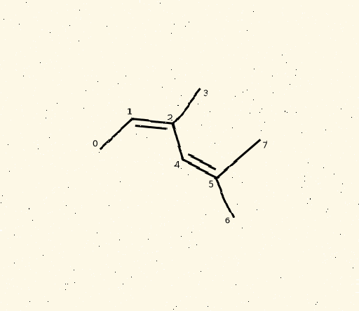 CC=C(C)C=C(C)C